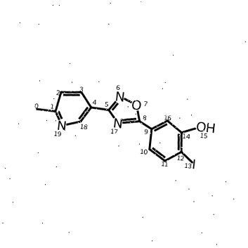 Cc1ccc(-c2noc(-c3ccc(I)c(O)c3)n2)cn1